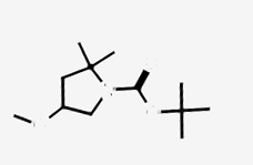 COC1CN(C(=O)OC(C)(C)C)C(C)(C)C1